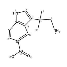 CC(C)(CN)c1c[nH]c2ccc([N+](=O)[O-])cc12